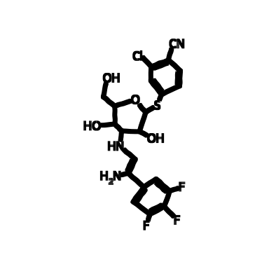 N#Cc1ccc(SC2OC(CO)C(O)C(N/C=C(\N)c3cc(F)c(F)c(F)c3)C2O)cc1Cl